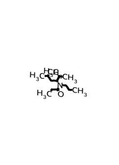 CCCN(C(=O)CC)C(CC(C)C)C(C)C